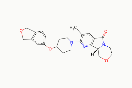 Cc1cc2c(nc1N1CCC(Oc3ccc4c(c3)COC4)CC1)[C@H]1COCCN1C2=O